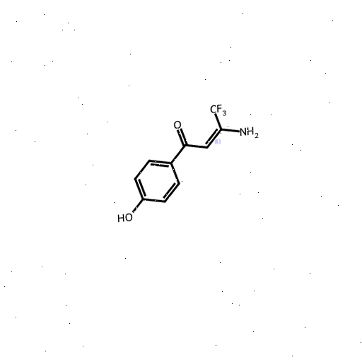 N/C(=C/C(=O)c1ccc(O)cc1)C(F)(F)F